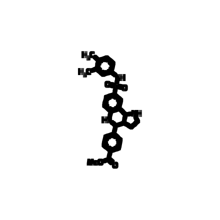 COC(=O)c1ccc(C2Nc3ccc(S(=O)(=O)Nc4ccc(C)c(C)c4)cc3C3NCCC23)cc1